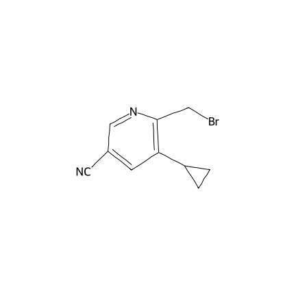 N#Cc1cnc(CBr)c(C2CC2)c1